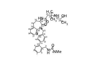 CNC(=O)NCc1ccccc1-c1ccc(CN2C(=O)[C@H](NC(=O)CC(C)(C)NC[C@@H](C)O)CCc3cccnc32)cc1